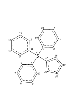 c1ccc(S(c2ccccc2)(c2ccccc2)c2ccsc2)cc1